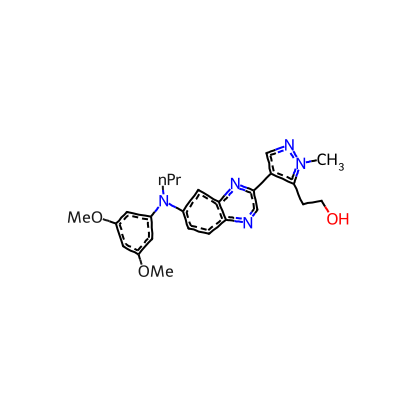 CCCN(c1cc(OC)cc(OC)c1)c1ccc2ncc(-c3cnn(C)c3CCO)nc2c1